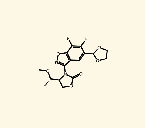 CO[C@@H](C)C1COC(=O)N1c1noc2c(F)c(F)c(C3OCCO3)cc12